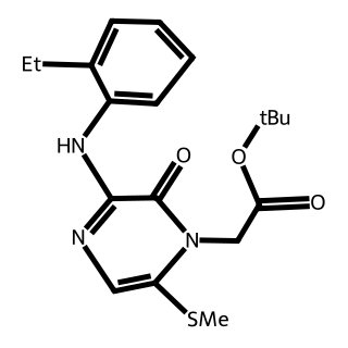 CCc1ccccc1Nc1ncc(SC)n(CC(=O)OC(C)(C)C)c1=O